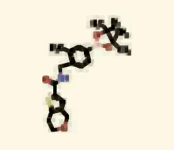 Cc1cc(B2OC(C)(C)C(C)(C)O2)ccc1CNC(=O)c1cc2c(s1)CCOC2